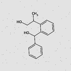 CC(CO)c1ccccc1C(O)c1ccccc1